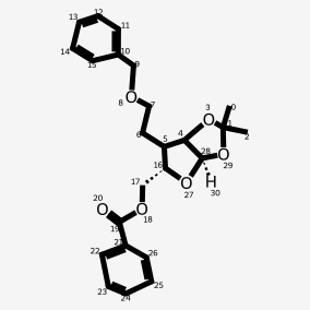 CC1(C)OC2C(CCOCc3ccccc3)[C@@H](COC(=O)c3ccccc3)O[C@@H]2O1